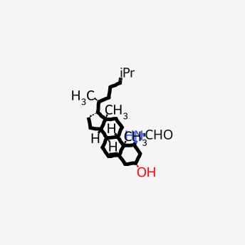 CC(C)CCC[C@@H](C)[C@H]1CC[C@H]2[C@@H]3CC=C4C[C@@H](O)CC(NC=O)[C@]4(C)[C@H]3CC[C@]12C